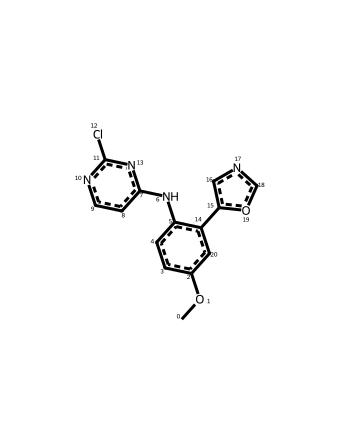 COc1ccc(Nc2ccnc(Cl)n2)c(-c2cnco2)c1